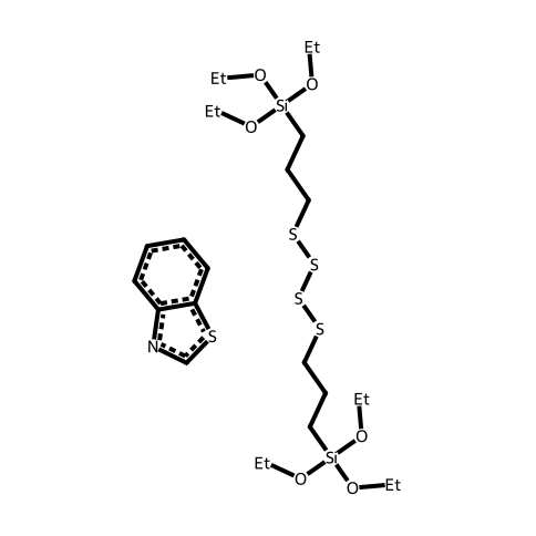 CCO[Si](CCCSSSSCCC[Si](OCC)(OCC)OCC)(OCC)OCC.c1ccc2scnc2c1